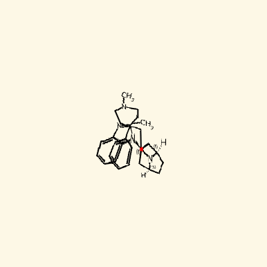 Cc1nc2ccccc2n1[C@H]1C[C@H]2CC[C@@H](C1)N2CCC1(c2ccccc2)CCN(C)CC1